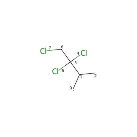 [CH2]C(C)C(Cl)(Cl)CCl